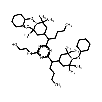 CCCCC(c1nc(NCCO)nc(C(CCCC)C2CC(C)(C)N(OC3CCCCC3)C(C)(C)C2)n1)C1CC(C)(C)N(OC2CCCCC2)C(C)(C)C1